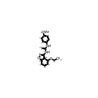 COc1ccc(NC(=S)Nc2noc3cccc(OCC(F)(F)F)c23)cc1